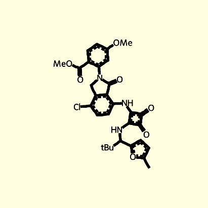 COC(=O)c1ccc(OC)cc1N1Cc2c(Cl)ccc(Nc3c(NC(c4ccc(C)o4)C(C)(C)C)c(=O)c3=O)c2C1=O